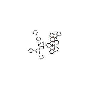 C1=C(c2nc(-c3ccc(-c4ccccc4)cc3)nc(-c3cc(-c4ccccc4)cc(-c4ccccc4)c3)n2)C=C(c2ccccc2)C(n2c3ccccc3c3ccc(-n4c5ccccc5c5ccccc54)cc32)C1c1ccccc1